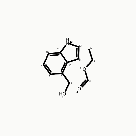 CCOC=O.OCc1cccc2[nH]ccc12